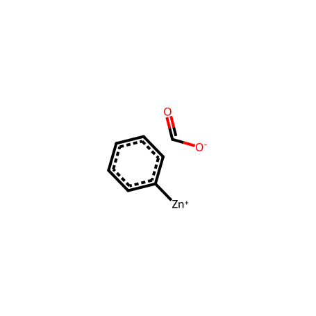 O=C[O-].[Zn+][c]1ccccc1